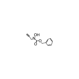 C#CCN(O)C(=O)OCc1ccccc1